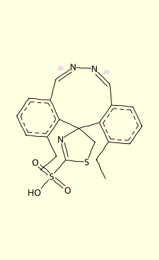 CCc1cccc2c1C1(CSC(S(=O)(=O)O)=N1)c1c(cccc1CC)/C=N\N=C/2